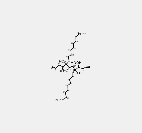 C=CCC(O)[C@](O)(CCCCCCCCCCCCCCCCCC)[C@@H](O)[C@H](O)[C@@](O)(CCCCCCCCCCCCCCCCCC)C(O)CC=C